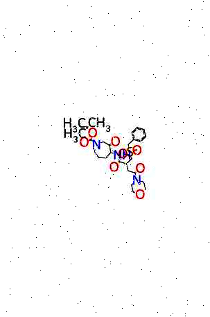 CC(C)(C)OC(=O)N1CCCC(NC(=O)C(CC(=O)N2CCOCC2)CS(=O)(=O)Cc2ccccc2)C(=O)C1